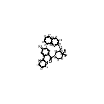 O=C(c1ccc(F)cc1-c1ncccn1)N1CCC(F)(F)C(Oc2ccc3ccccc3n2)C1